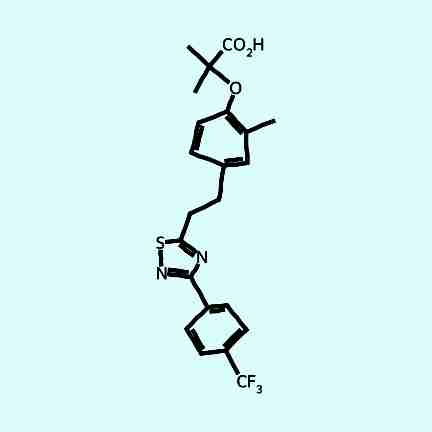 Cc1cc(CCc2nc(-c3ccc(C(F)(F)F)cc3)ns2)ccc1OC(C)(C)C(=O)O